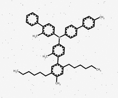 CCCCCCc1cc(-c2ccc(N(c3ccc(-c4ccc(C)cc4)cc3)c3ccc(-c4ccccc4)c(C)c3)cc2C)c(CCCCCC)cc1C